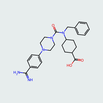 N=C(N)c1ccc(N2CCN(C(=O)N(Cc3ccccc3)C3CCC(C(=O)O)CC3)CC2)cc1